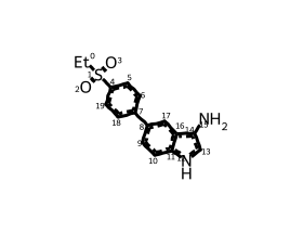 CCS(=O)(=O)c1ccc(-c2ccc3[nH]cc(N)c3c2)cc1